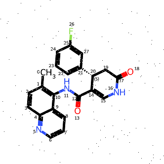 Cc1ccc2ncccc2c1NC(=O)C1=CNC(=O)C[C@H]1c1cccc(F)c1